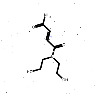 NC(=O)/C=C/C(=O)N(CCO)CCO